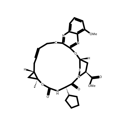 COC(=O)[C@@H]1C[C@@H]2CN1C(=O)[C@H](C1CCCC1)NC(=O)O[C@@]1(C)C[C@@H]1C/C=C/CCc1nc3cccc(OC)c3nc1O2